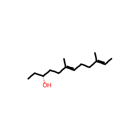 C/C=C(\C)CC/C=C(\C)CC[C@H](O)CC